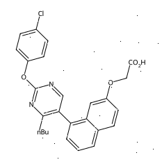 CCCCc1nc(Oc2ccc(Cl)cc2)ncc1-c1cccc2ccc(OCC(=O)O)cc12